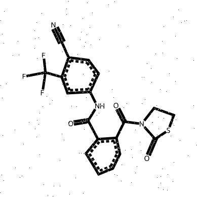 N#Cc1ccc(NC(=O)c2ccccc2C(=O)N2CCSC2=O)cc1C(F)(F)F